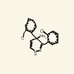 NC1(c2ccccc2Cl)C=CNN=C1c1ccccc1Cl